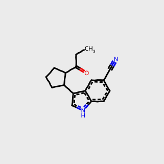 CCC(=O)C1CCCC1c1c[nH]c2ccc(C#N)cc12